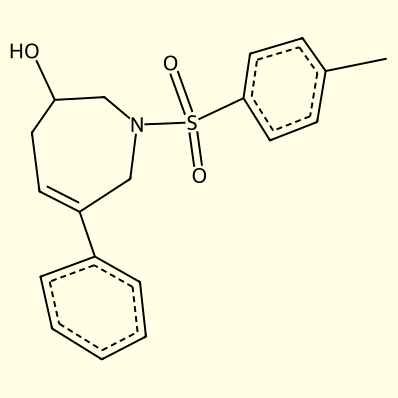 Cc1ccc(S(=O)(=O)N2CC(c3ccccc3)=CCC(O)C2)cc1